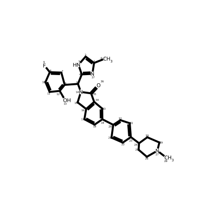 Cc1c[nH]c(C(c2cc(F)ccc2O)N2Cc3ccc(-c4ccc(C5CCN(C)CC5)cc4)cc3C2=O)n1